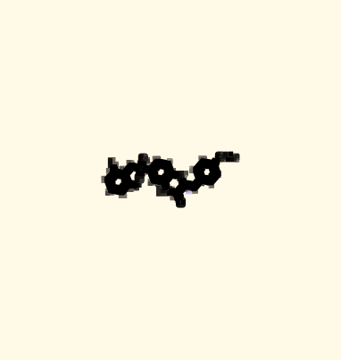 COc1ccc(/C=C2\Sc3ccc(S(=O)(=O)Cc4c(F)cccc4F)cc3NC2=O)cc1